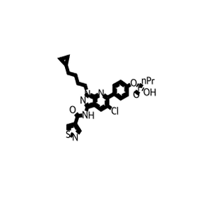 CCCP(=O)(O)Oc1ccc(-c2nc3c(cc2Cl)c(NC(=O)c2cnsc2)nn3CCCCC2CC2)cc1